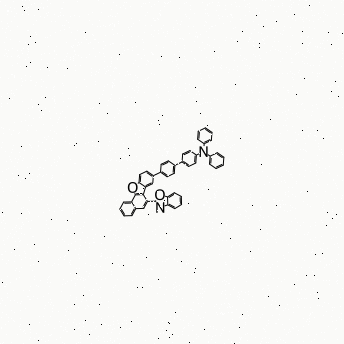 c1ccc(N(c2ccccc2)c2ccc(-c3ccc(-c4ccc5oc6c7ccccc7cc(-c7nc8ccccc8o7)c6c5c4)cc3)cc2)cc1